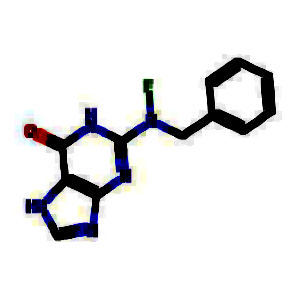 O=c1[nH]c(N(F)Cc2ccccc2)nc2nc[nH]c12